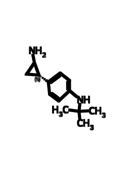 CC(C)(C)Nc1ccc([C@@H]2CC2N)cc1